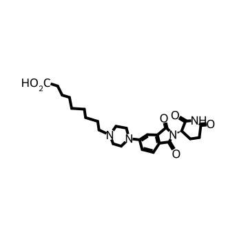 O=C(O)CCCCCCCCN1CCN(c2ccc3c(c2)C(=O)N([C@H]2CCC(=O)NC2=O)C3=O)CC1